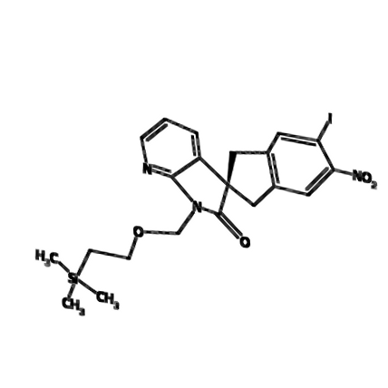 C[Si](C)(C)CCOCN1C(=O)[C@]2(Cc3cc(I)c([N+](=O)[O-])cc3C2)c2cccnc21